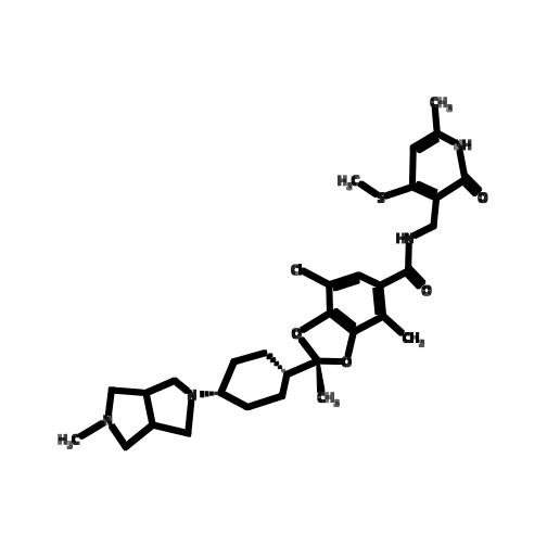 CSc1cc(C)[nH]c(=O)c1CNC(=O)c1cc(Cl)c2c(c1C)O[C@](C)([C@H]1CC[C@@H](N3CC4CN(C)CC4C3)CC1)O2